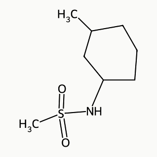 CC1CCCC(NS(C)(=O)=O)C1